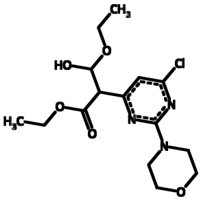 CCOC(=O)C(c1cc(Cl)nc(N2CCOCC2)n1)C(O)OCC